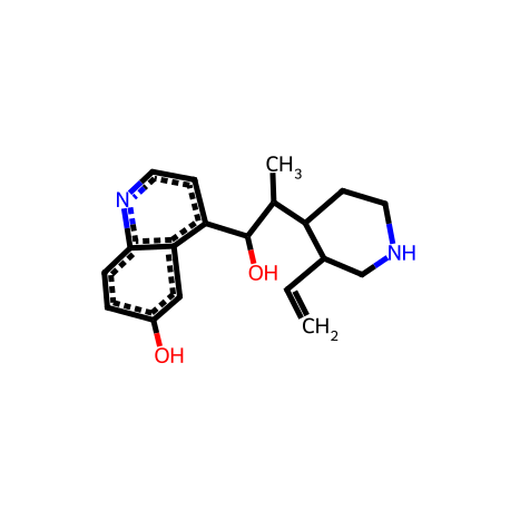 C=CC1CNCCC1C(C)C(O)c1ccnc2ccc(O)cc12